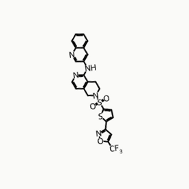 O=S(=O)(c1ccc(-c2cc(C(F)(F)F)on2)s1)N1CCc2c(ccnc2Nc2cnc3ccccc3c2)C1